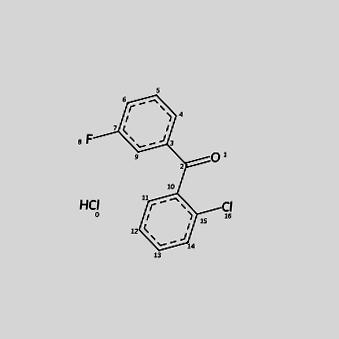 Cl.O=C(c1cccc(F)c1)c1ccccc1Cl